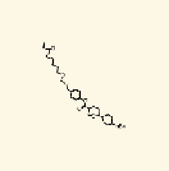 C=CC(=O)OCCCCOCOCc1ccc(OC(=O)C2CCC(C3CCC(CCCC)CC3)CC2)cc1